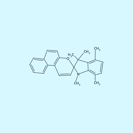 Cc1ccc(C)c2c1N(C)C1(C=Cc3c(ccc4ccccc34)O1)C2(C)C